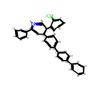 Clc1ccccc1-c1cnc(-c2ccccc2)cc1-c1ccc(-c2ccc(-c3ccccc3)cc2)cc1